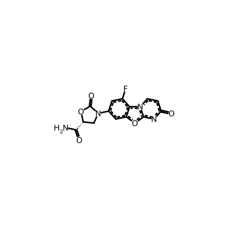 NC(=O)[C@H]1CN(c2cc(F)c3c(c2)oc2nc(=O)ccn23)C(=O)O1